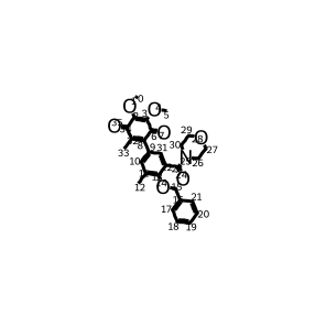 COC1=C(OC)C(=O)C(c2cc(C)c(OCc3ccccc3)c(C(=O)N3CCOCC3)c2)=C(C)C1=O